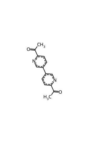 CC(=O)c1ccc(-c2ccc(C(C)=O)nc2)cn1